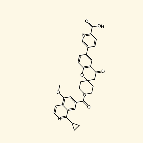 COc1cc(C(=O)N2CCC3(CC2)CC(=O)c2cc(-c4ccc(C(=O)O)nc4)ccc2O3)cc2c(C3CC3)nccc12